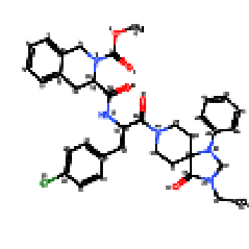 CC(C)(C)OC(=O)N1Cc2ccccc2C[C@@H]1C(=O)N[C@H](Cc1ccc(Cl)cc1)C(=O)N1CCC2(CC1)C(=O)N(CC(=O)O)CN2c1ccccc1